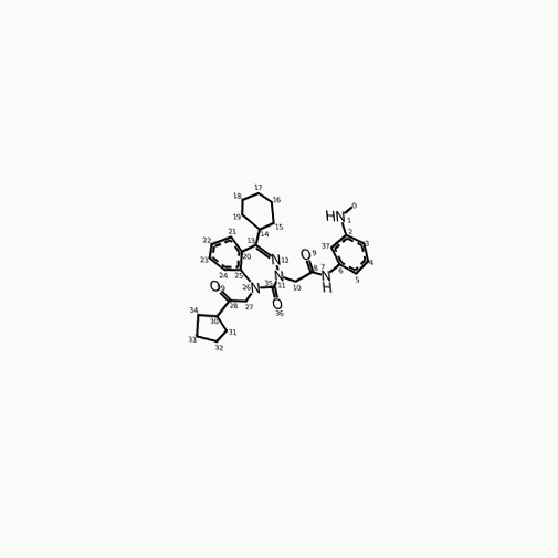 CNc1cccc(NC(=O)CN2N=C(C3CCCCC3)c3ccccc3N(CC(=O)C3CCCC3)C2=O)c1